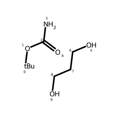 CC(C)(C)OC(N)=O.OCCCO